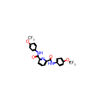 O=C(Nc1ccc(OC(F)(F)F)cc1)c1cccc(C(=O)Nc2ccc(OC(F)(F)F)cc2)n1